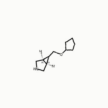 C1CCC(OCC2[C@H]3CNC[C@@H]23)C1